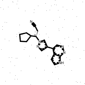 N#CC[C@@H](C1CCCC1)n1cc(-c2cnnc3[nH]ccc23)cn1